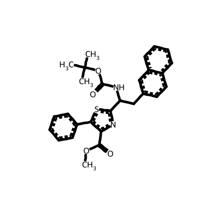 COC(=O)c1nc(C(Cc2ccc3ccccc3c2)NC(=O)OC(C)(C)C)sc1-c1ccccc1